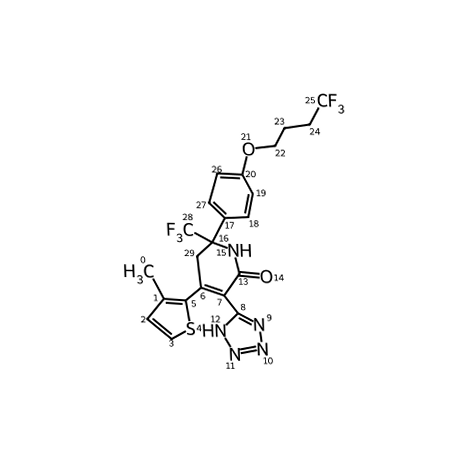 Cc1ccsc1C1=C(c2nnn[nH]2)C(=O)NC(c2ccc(OCCCC(F)(F)F)cc2)(C(F)(F)F)C1